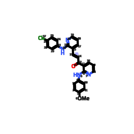 COc1ccc(Nc2ncccc2C(=O)/C=C/c2cccnc2Nc2ccc(Cl)cc2)cc1